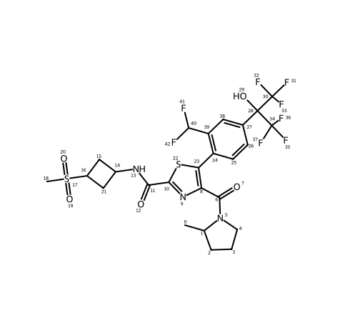 CC1CCCN1C(=O)c1nc(C(=O)NC2CC(S(C)(=O)=O)C2)sc1-c1ccc(C(O)(C(F)(F)F)C(F)(F)F)cc1C(F)F